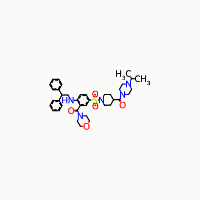 CC(C)N1CCN(C(=O)C2CCN(S(=O)(=O)c3ccc(NCC(c4ccccc4)c4ccccc4)c(C(=O)N4CCOCC4)c3)CC2)CC1